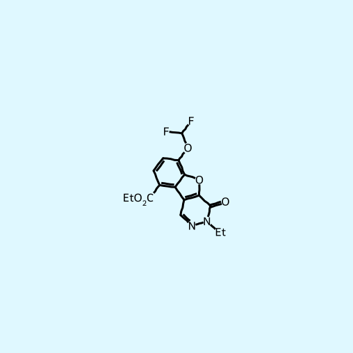 CCOC(=O)c1ccc(OC(F)F)c2oc3c(=O)n(CC)ncc3c12